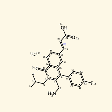 CC(C)Cn1c(CN)c(-c2ccc(F)cc2)c2cc(/C=C/C(=O)O)ccc2c1=O.Cl